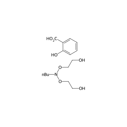 CCCCN(OCCO)OCCO.O=C(O)c1ccccc1O